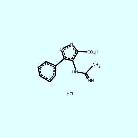 Cl.N=C(N)Nc1c(C(=O)O)noc1-c1ccccc1